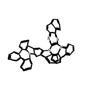 c1ccc2c(c1)-c1ccccc1-n1c3cc4c5ccccc5n(-c5nc6ccc7ccccc7c6nc5-n5c6ccccc6c6ccccc65)c4cc3c3cccc-2c31